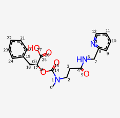 CN(CCC(=O)NCc1ccccn1)C(=O)O[C@@H](Cc1ccccc1)C(=O)O